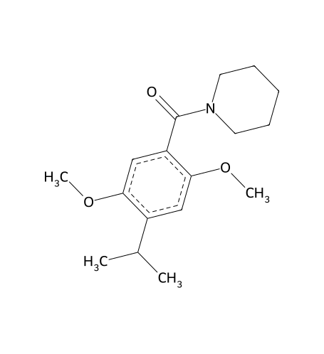 COc1cc(C(C)C)c(OC)cc1C(=O)N1CCCCC1